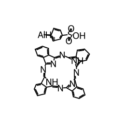 Cc1ccc(S(=O)(=O)O)cc1.[AlH3].c1ccc2c(c1)-c1nc-2nc2[nH]c(nc3nc(nc4[nH]c(n1)c1ccccc41)-c1ccccc1-3)c1ccccc21